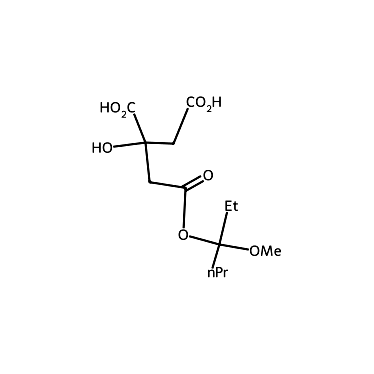 CCCC(CC)(OC)OC(=O)CC(O)(CC(=O)O)C(=O)O